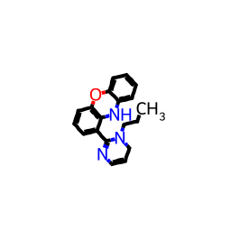 CCCN1CC=CN=C1c1cccc2c1Nc1ccccc1O2